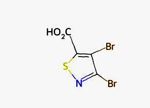 O=C(O)c1snc(Br)c1Br